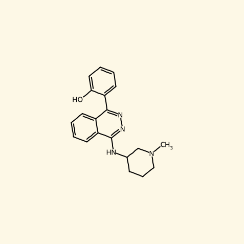 CN1CCCC(Nc2nnc(-c3ccccc3O)c3ccccc23)C1